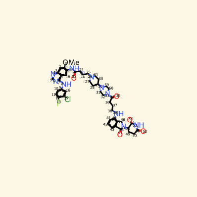 COc1cc2ncnc(Nc3ccc(F)c(Cl)c3)c2cc1NC(=O)/C=C/CN1CCC(N2CCN(C(=O)CCCNc3cccc4c3CN(C3CCC(=O)NC3=O)C4=O)CC2)CC1